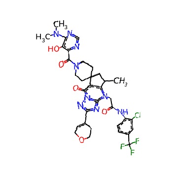 CC1CC2(CCN(C(=O)c3ncnc(N(C)C)c3O)CC2)c2c1n(CC(=O)Nc1ccc(C(F)(F)F)cc1Cl)c1nc(C3=CCOCC3)nn1c2=O